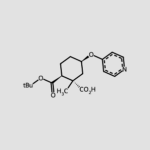 CC(C)(C)OC(=O)[C@H]1CC[C@@H](Oc2ccncc2)C[C@]1(C)C(=O)O